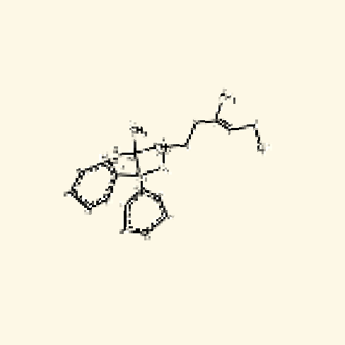 CC(=CCO)CCCO[Si](c1ccccc1)(c1ccccc1)C(C)(C)C